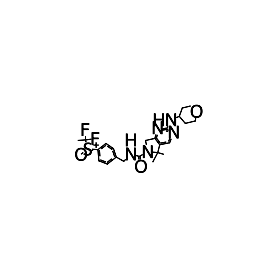 CC1(C)c2cnc(NC3CCOCC3)nc2CN1C(=O)NCc1ccc([S+]([O-])C(C)(F)F)cc1